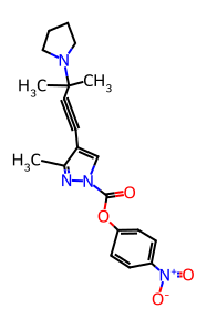 Cc1nn(C(=O)Oc2ccc([N+](=O)[O-])cc2)cc1C#CC(C)(C)N1CCCC1